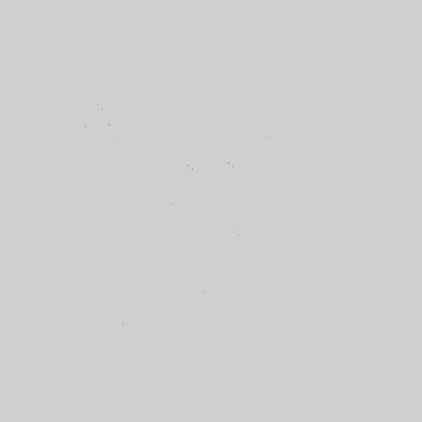 C#Cc1c(F)ccc2cc(OCOC)cc(-c3ncc4c(N5CCN(C(=O)OC(C)(C)C)CC5)nc(OC[C@]56CCC[C@H]5N(C)CCC6)nc4c3F)c12